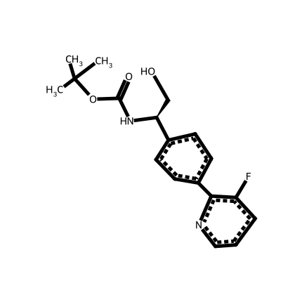 CC(C)(C)OC(=O)N[C@@H](CO)c1ccc(-c2ncccc2F)cc1